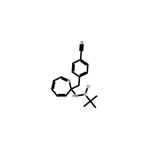 CC(C)(C)[S+]([O-])NC1(Cc2ccc(C#N)cc2)C=CC=CC=N1